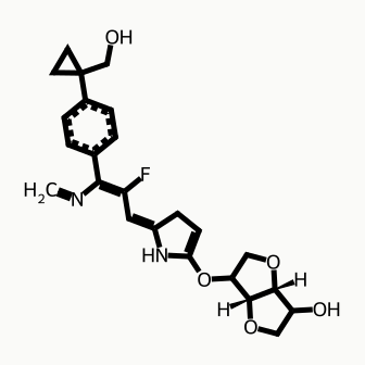 C=N/C(=C(F)\C=C1/CC=C(OC2CO[C@@H]3C(O)CO[C@H]23)N1)c1ccc(C2(CO)CC2)cc1